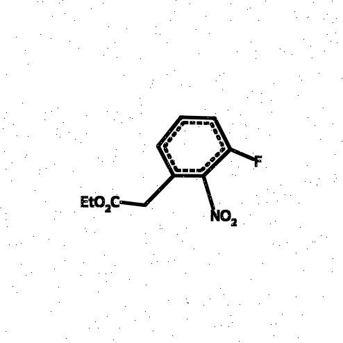 CCOC(=O)Cc1cccc(F)c1[N+](=O)[O-]